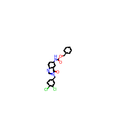 O=C(Nc1ccc2ncn(Cc3ccc(Cl)c(Cl)c3)c(=O)c2c1)OCc1ccccc1